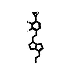 CCCC1=CCC2C(CCc3ccc(C4CO4)c(F)c3F)CCC12